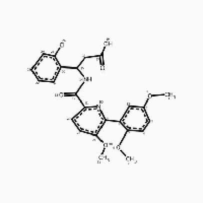 COc1ccc(OC)c(-c2nc(C(=O)NC(CC(=O)O)c3ccccc3Cl)ccc2OC)c1